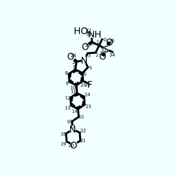 CC(CCN1Cc2c(ccc(-c3ccc(CCN4CCOCC4)cc3)c2F)C1=O)(C(=O)NO)S(C)(=O)=O